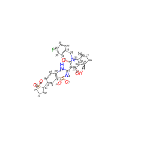 O=C1C(C2=NS(=O)(=O)c3cc(C4=CCCS4(=O)=O)ccc3N2)=C(O)C2C([C@@H]3CC[C@H]2C3)N1Cc1ccc(F)cc1